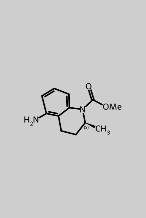 COC(=O)N1c2cccc(N)c2CC[C@@H]1C